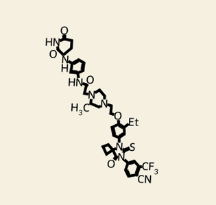 CCc1cc(N2C(=S)N(c3ccc(C#N)c(C(F)(F)F)c3)C(=O)C23CCC3)ccc1OCCN1CCN(CC(=O)Nc2cccc(NC3CCC(=O)NC3=O)c2)[C@H](C)C1